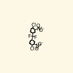 O=[N+]([O-])c1cc(C(F)(F)c2ccc(Cl)c([N+](=O)[O-])c2)ccc1Cl